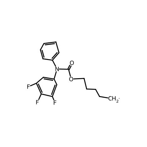 [CH2]CCCCOC(=O)N(c1ccccc1)c1cc(F)c(F)c(F)c1